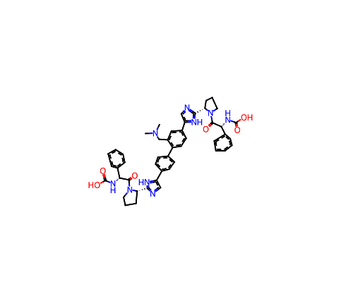 CN(C)Cc1cc(-c2cnc([C@@H]3CCCN3C(=O)[C@H](NC(=O)O)c3ccccc3)[nH]2)ccc1-c1ccc(-c2cnc([C@@H]3CCCN3C(=O)[C@H](NC(=O)O)c3ccccc3)[nH]2)cc1